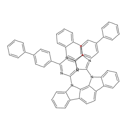 c1ccc(-c2ccc(-c3nc(-c4ccc(-c5ccccc5)cc4)nc(-n4c5ccccc5c5ccc6c7ccccc7n(-c7nc8cc9ccccc9cc8o7)c6c54)n3)cc2)cc1